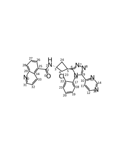 O=C(N[C@H]1C[C@H](c2nnc(-c3ccncn3)n2-c2ccccc2Cl)C1)c1cccc2ncccc12